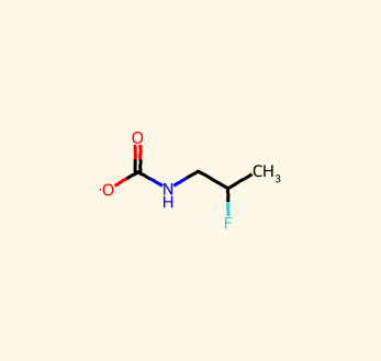 CC(F)CNC([O])=O